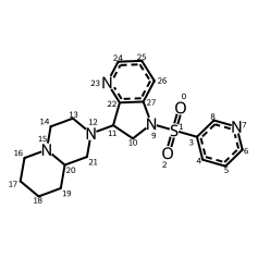 O=S(=O)(c1cccnc1)N1CC(N2CCN3CCCCC3C2)c2ncccc21